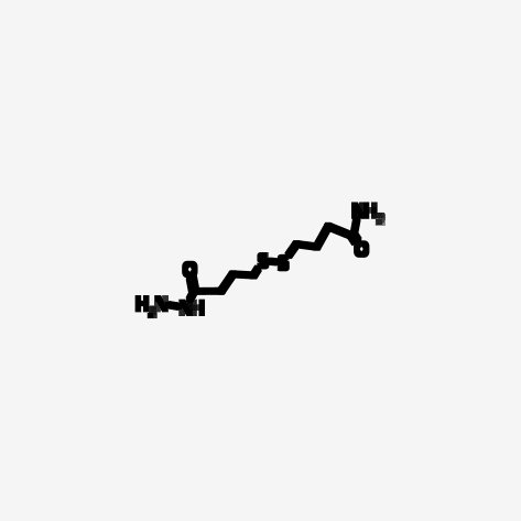 NNC(=O)CCCSSCCCC(N)=O